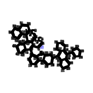 C=Cc1c(/C=C\C)c(-c2cccc3c2sc2cc(-c4c5ccccc5c(-c5ccccc5)c5ccccc45)ccc23)c2ccccc2c1-c1cccc2ccccc12